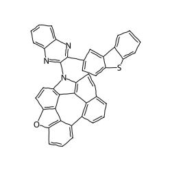 c1cc2c3c(c1)ccc1c3c3c4c(ccc3n1-c1nc3ccccc3nc1-c1ccc3sc5ccccc5c3c1)oc1cccc-2c14